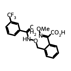 C=C(NOCc1ccccc1C(=NOC)C(=O)O)c1cccc(C(F)(F)F)c1